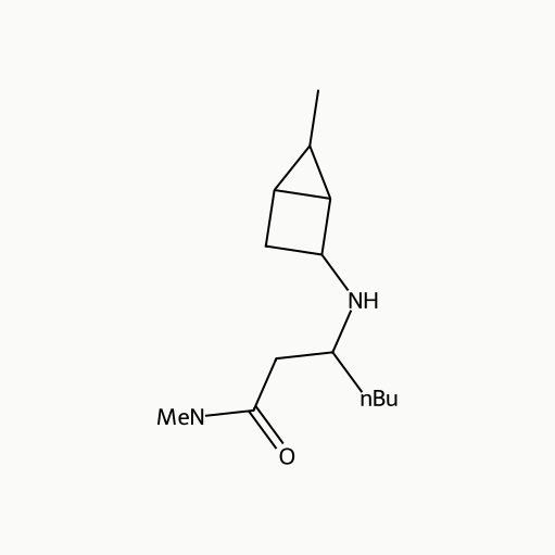 CCCCC(CC(=O)NC)NC1CC2C(C)C12